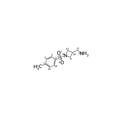 Cc1ccc(S(=O)(=O)N2CC(CN)C2)cc1